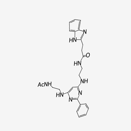 CC(=O)NCCNc1cc(NCCNC(=O)CCc2nc3ccccc3[nH]2)nc(-c2ccccc2)n1